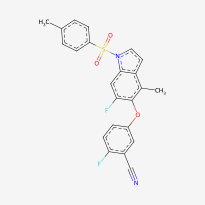 Cc1ccc(S(=O)(=O)n2ccc3c(C)c(Oc4ccc(F)c(C#N)c4)c(F)cc32)cc1